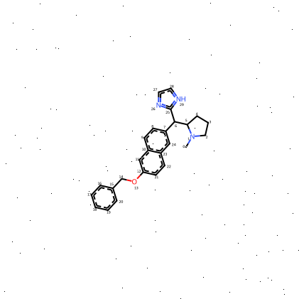 CN1CCCC1C(c1ccc2cc(OCc3ccccc3)ccc2c1)c1ncc[nH]1